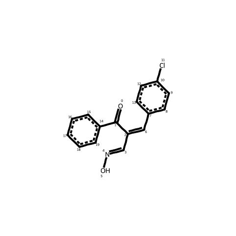 O=C(C(C=NO)=Cc1ccc(Cl)cc1)c1ccccc1